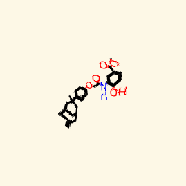 COC(=O)c1ccc(O)c(NC(=O)COc2ccc(C3(C)CC4CC(C)CC(C4)C3)cc2)c1